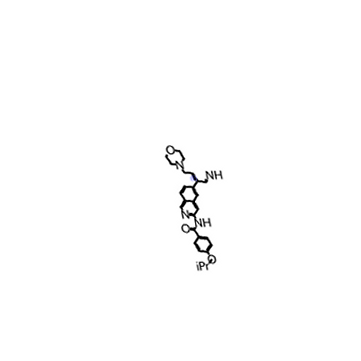 CC(C)Oc1ccc(C(=O)Nc2cc3cc(/C(C=N)=C\CN4CCOCC4)ccc3cn2)cc1